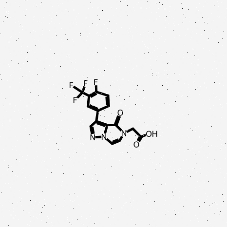 O=C(O)Cn1ccn2ncc(-c3ccc(F)c(C(F)(F)F)c3)c2c1=O